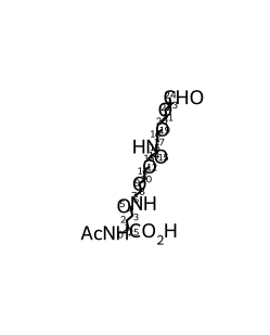 CC(=O)N[C@@H](CCC(=O)NCCOCCOCC(=O)NCCOCCOCC=O)C(=O)O